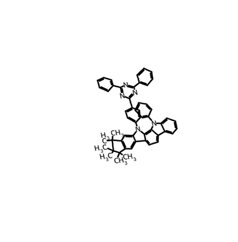 CC1(C)c2cc3c4ccc5c6ccccc6n(-c6ccccc6)c5c4n(-c4ccc(-c5nc(-c6ccccc6)nc(-c6ccccc6)n5)cc4)c3cc2C(C)(C)C1(C)C